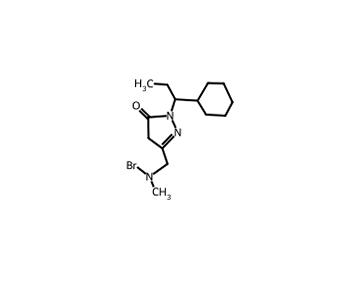 CCC(C1CCCCC1)N1N=C(CN(C)Br)CC1=O